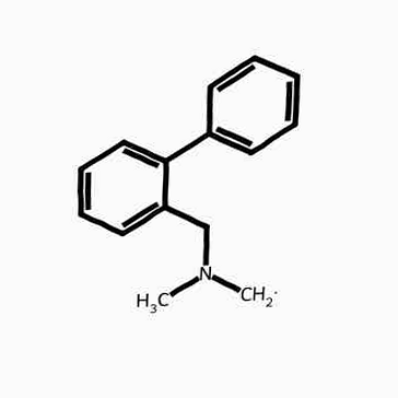 [CH2]N(C)Cc1ccccc1-c1ccccc1